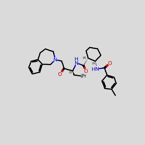 Cc1ccc(C(=O)N[C@H]2CCCC[C@H]2C(=O)N[C@@H](CC(C)C)C(=O)CN2CCCc3ccccc3C2)cc1